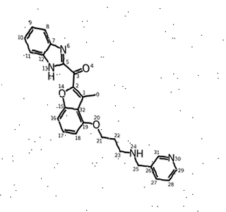 Cc1c(C(=O)c2nc3ccccc3[nH]2)oc2cccc(OCCCNCc3cccnc3)c12